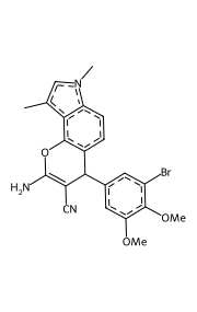 COc1cc(C2C(C#N)=C(N)Oc3c2ccc2c3c(C)cn2C)cc(Br)c1OC